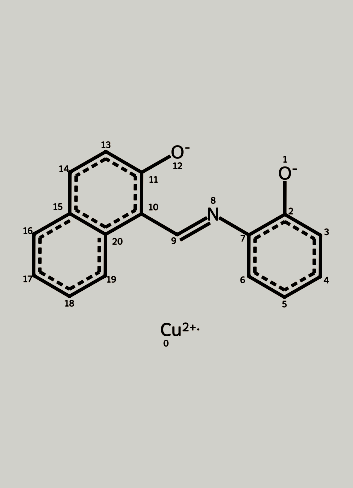 [Cu+2].[O-]c1ccccc1N=Cc1c([O-])ccc2ccccc12